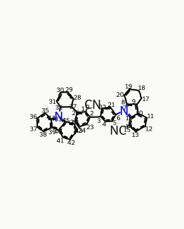 N#Cc1c(-c2ccc(-n3c4c(c5cccc(C#N)c53)CCC=C4)cc2)cccc1C1C=CC=CC1n1c2ccccc2c2ccccc21